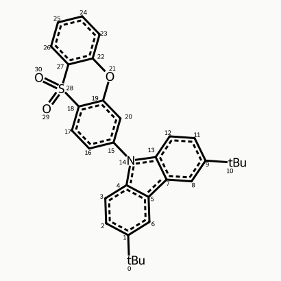 CC(C)(C)c1ccc2c(c1)c1cc(C(C)(C)C)ccc1n2-c1ccc2c(c1)Oc1ccccc1S2(=O)=O